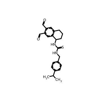 CC(C)c1ccc(CNC(=S)NC2CCCc3cc(C=O)c(C=O)cc32)cc1